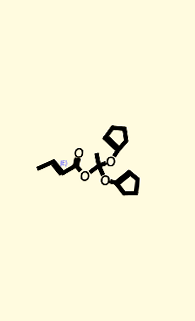 C/C=C/C(=O)OC(C)(OC1=CCCC1)OC1=CCCC1